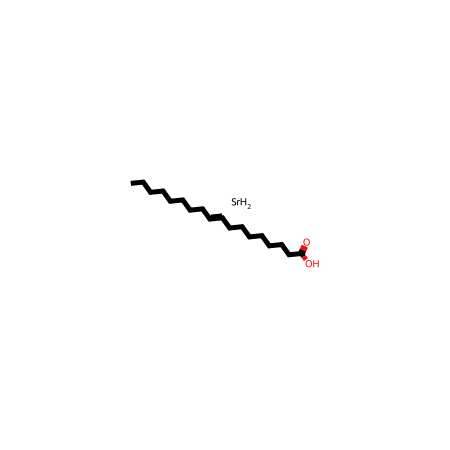 CCCCCCCCC=CCCCCCCCC(=O)O.[SrH2]